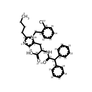 CCCCc1ncc(CC(NC(=O)C(c2ccccc2)c2ccccc2)C(=O)O)n1Cc1ccccc1Cl